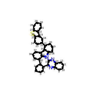 c1ccc2c(c1)-c1nc3ccccc3nc1-n1c3cccc(-c4ccc5sc6ccccc6c5c4)c3c3cccc-2c31